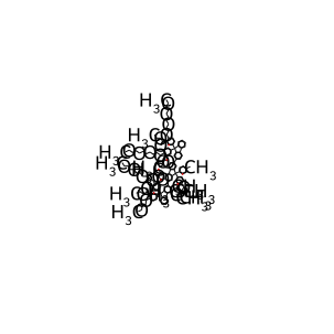 CCOC(=O)c1cc(C2(c3ccc(OCCOCCOCCOC)c(C(=O)OCC)c3)c3ccccc3-c3ccc(-c4ccc5c(c4)C(c4ccc(C)cc4)(c4ccc(O[Si](C(C)C)(C(C)C)C(C)C)cc4)c4cc(-c6ccc7c(c6)C(c6ccc(OCCOCCOCCOC)c(C(=O)OCC)c6)(c6ccc(OCCOCCOCCOC)c(C(=O)OCC)c6)c6ccccc6-7)ccc4-5)cc32)ccc1OCCOC